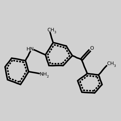 Cc1cc(C(=O)c2ccccc2C)ccc1Nc1ccccc1N